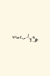 CCCCCCC(C)c1ccns1